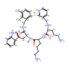 CN1C(=O)[C@H](CCCCN)NC(=O)[C@H](CCCN)NCc2cccnc2Sc2ccc(Cl)c(Cl)c2CNC(=O)[C@@H]1Cc1c[nH]c2ccccc12